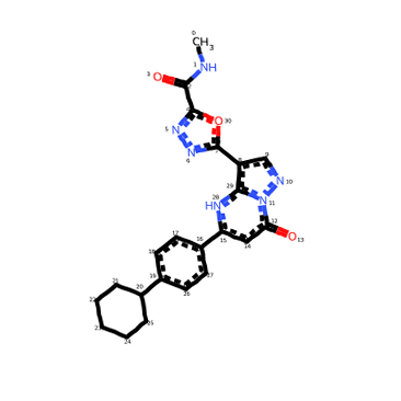 CNC(=O)c1nnc(-c2cnn3c(=O)cc(-c4ccc(C5CCCCC5)cc4)[nH]c23)o1